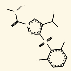 CCc1cccc(C)c1S(=O)(=O)c1nn(C(=O)N(CC)CC)cc1C(F)F